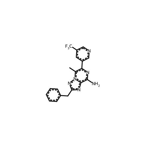 Cc1c(-c2cncc(C(F)(F)F)c2)nc(N)c2nc(Cc3ccccc3)nn12